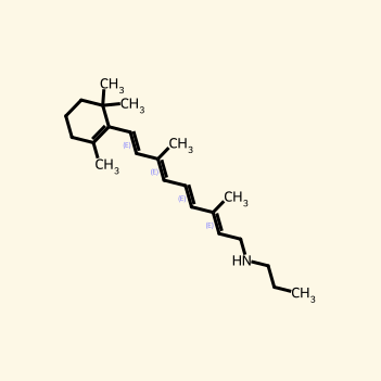 CCCNC/C=C(C)/C=C/C=C(C)/C=C/C1=C(C)CCCC1(C)C